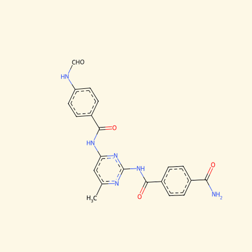 Cc1cc(NC(=O)c2ccc(NC=O)cc2)nc(NC(=O)c2ccc(C(N)=O)cc2)n1